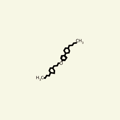 CCCCCC1CCC(c2ccc(OCCCC3CCC(CCCC)CC3)cc2)CC1